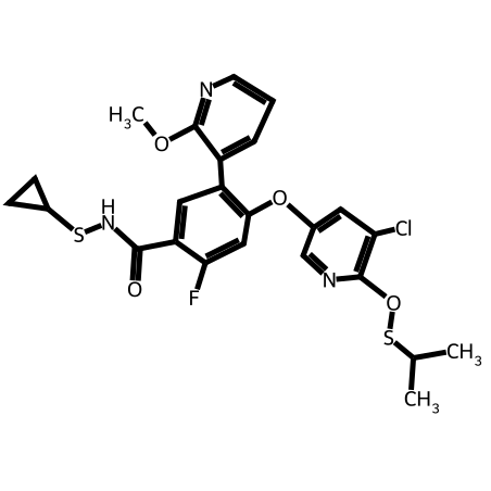 COc1ncccc1-c1cc(C(=O)NSC2CC2)c(F)cc1Oc1cnc(OSC(C)C)c(Cl)c1